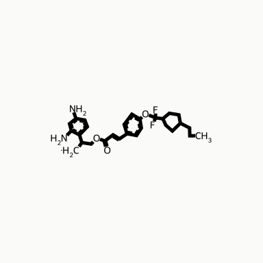 [CH2]C(COC(=O)/C=C/c1ccc(OC(F)(F)C2CCC(CCC)CC2)cc1)c1ccc(N)cc1N